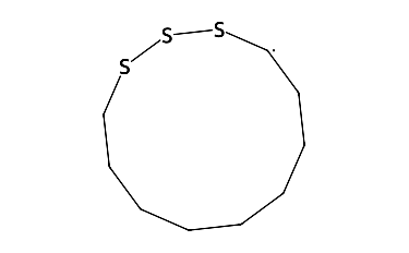 [CH]1CCCCCCCCSSS1